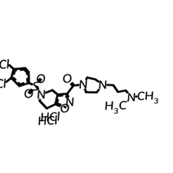 CN(C)CCCN1CCN(C(=O)c2noc3c2CN(S(=O)(=O)c2ccc(Cl)c(Cl)c2)CC3)CC1.Cl.Cl